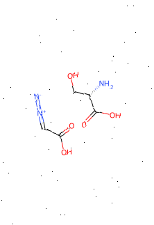 N[C@@H](CO)C(=O)O.[N-]=[N+]=CC(=O)O